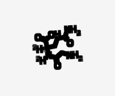 [2H]N(C(=O)CN)[C@]([2H])(CCC(N)=O)C(=O)O